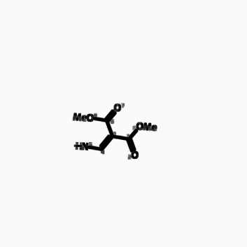 COC(=O)C(=C[NH])C(=O)OC